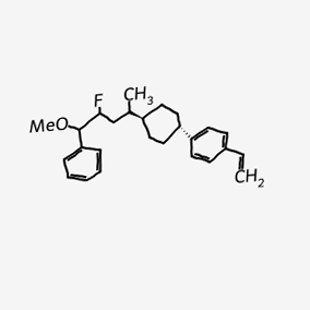 C=Cc1ccc([C@H]2CC[C@H](C(C)CC(F)C(OC)c3ccccc3)CC2)cc1